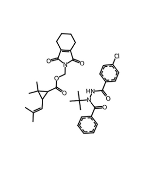 CC(C)(C)N(NC(=O)c1ccc(Cl)cc1)C(=O)c1ccccc1.CC(C)=CC1C(C(=O)OCN2C(=O)C3=C(CCCC3)C2=O)C1(C)C